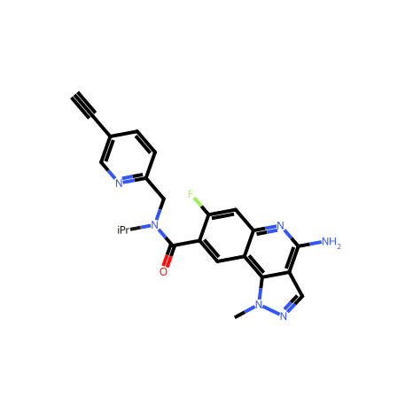 C#Cc1ccc(CN(C(=O)c2cc3c(cc2F)nc(N)c2cnn(C)c23)C(C)C)nc1